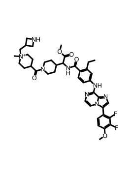 CCc1cc(Nc2nccn3c(-c4ccc(OC)c(F)c4F)cnc23)ccc1C(=O)NC(C(=O)OC)C1CCN(C(=O)C2CC[N+](C)(CC3CNC3)CC2)CC1